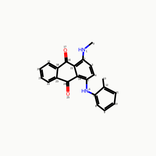 CNc1ccc(Nc2ccccc2C)c2c1C(=O)c1ccccc1C2=O